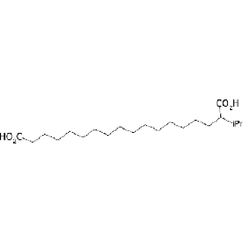 CC(C)C(CCCCCCCCCCCCCCCC(=O)O)C(=O)O